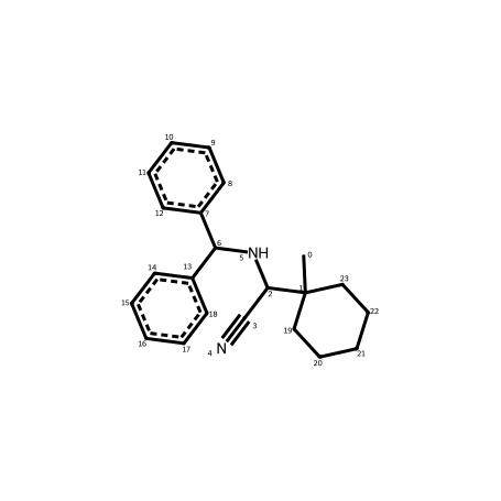 CC1(C(C#N)NC(c2ccccc2)c2ccccc2)CCCCC1